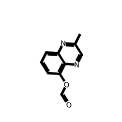 Cc1cnc2c(OC=O)cccc2n1